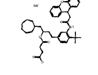 CC(C)(C)c1ccc(CCC(CC2CCCCCC2)OC(=O)CCC(=O)[O-])cc1NC(=O)CC1c2ccccc2Oc2ccccc21.[Na+]